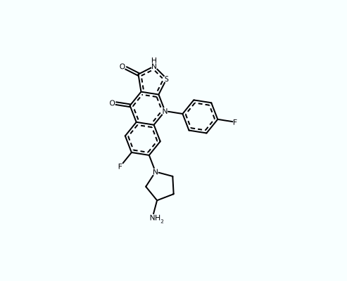 NC1CCN(c2cc3c(cc2F)c(=O)c2c(=O)[nH]sc2n3-c2ccc(F)cc2)C1